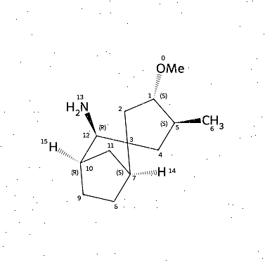 CO[C@H]1CC2(C[C@@H]1C)[C@H]1CC[C@H](C1)[C@H]2N